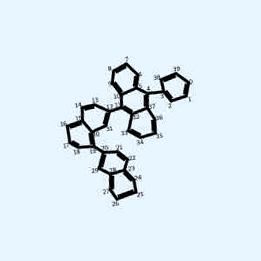 c1ccc(-c2c3ccccc3c(-c3ccc4cccc(-c5ccc6ccccc6c5)c4c3)c3ccccc23)cc1